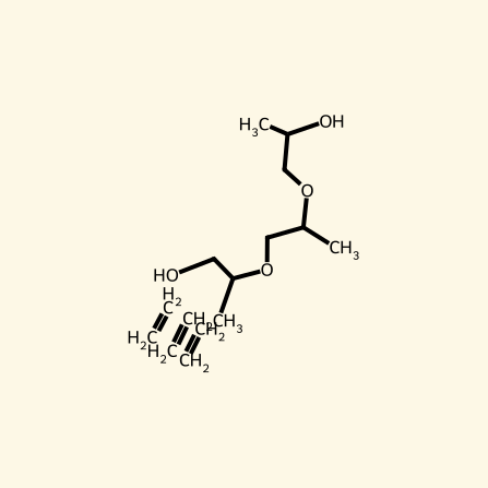 C=C.C=C.C=C.CC(O)COC(C)COC(C)CO